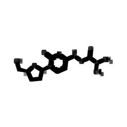 CN(C)C(=O)ONc1ccn([C@H]2CC[C@@H](CO)O2)c(=O)n1